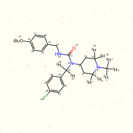 [2H]C([2H])([2H])N1C([2H])([2H])CC(N(C(=O)NCc2ccc(OCC(C)C)cc2)C([2H])([2H])c2ccc(F)cc2)CC1([2H])[2H]